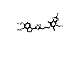 CCCCn1c(=O)n(CCCc2nc(C3CCc4c3ccc(OC)c4OC)no2)c(=O)c2[nH]c(Cl)nc21